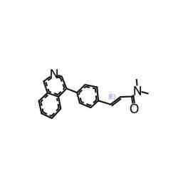 CN(C)C(=O)/C=C/c1ccc(-c2cncc3ccccc23)cc1